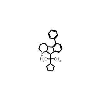 CC(C)(C1CCCC1)C1c2cccc(-c3ccccc3)c2C2CCCNC21